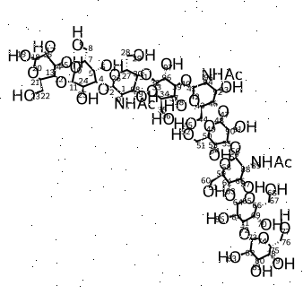 CC(=O)N[C@H]1[C@H](O[C@H]2[C@@H](O)[C@@H](CO)O[C@@H](O[C@H]3[C@H](O)[C@@H](O)[C@H](O)O[C@@H]3CO)[C@@H]2O)O[C@H](CO)[C@@H](O[C@@H]2O[C@H](CO)[C@H](O)[C@H](O[C@@H]3O[C@H](CO)[C@@H](O[C@@H]4O[C@H](CO)[C@H](O)[C@H](O[C@@H]5O[C@H](CO)[C@@H](O[C@@H]6O[C@H](CO)[C@H](O)[C@H](O[C@H]7O[C@H](CO)[C@H](O)[C@H](O)[C@H]7O)[C@H]6O)[C@H](O)[C@H]5NC(C)=O)[C@H]4O)[C@H](O)[C@H]3NC(C)=O)[C@H]2O)[C@@H]1O